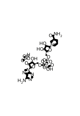 NC(=O)c1ccc[n+]([C@@H]2O[C@H](COP(=O)([O-])OP(=O)(O)OC[C@H]3O[C@@H](n4cnc5c(N)ncnc54)[C@H](OP(=O)(O)O)[C@@H]3O)[C@@H](O)[C@H]2O)c1.O=CO